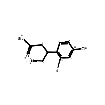 CC(C)(C)C(=O)CC(C[N+](=O)[O-])c1ccc(Cl)cc1Cl